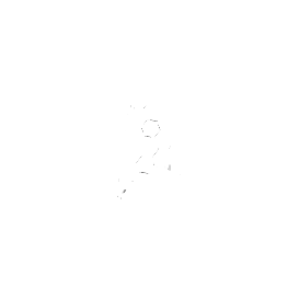 C=C/C(=C1/C=CC(C(C)(C)C#N)=CN1N)c1cc(F)c(C(N)=O)c(OC)c1